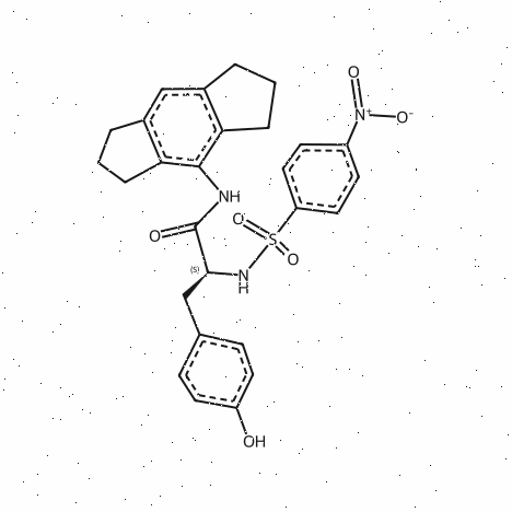 O=C(Nc1c2c(cc3c1CCC3)CCC2)[C@H](Cc1ccc(O)cc1)NS(=O)(=O)c1ccc([N+](=O)[O-])cc1